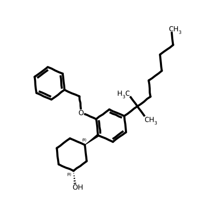 CCCCCCC(C)(C)c1ccc([C@@H]2CCC[C@@H](O)C2)c(OCc2ccccc2)c1